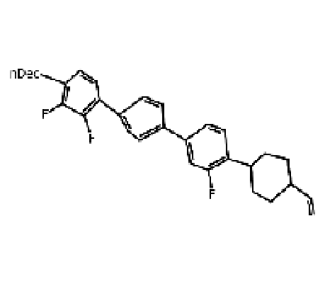 C=CC1CCC(c2ccc(-c3ccc(-c4ccc(CCCCCCCCCC)c(F)c4F)cc3)cc2F)CC1